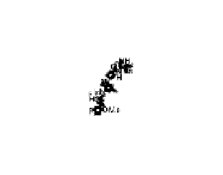 COc1ccc(F)cc1C(C)(C)CC(O)(CNc1cc(C)cc2c1cnn2-c1ccc(C(=O)N[C@H](C(N)=O)c2ccsc2)cc1)C(F)(F)F